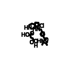 CC(C)C(C)NC(=O)c1ccc(CNc2c(Cl)ccc3c2CCNCC3)cc1.O=C(O)CCC(=O)O